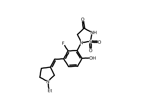 CCN1CC/C(=C/c2ccc(O)c(N3CC(=O)NS3(=O)=O)c2F)C1